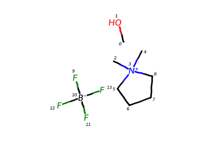 CO.C[N+]1(C)CCCC1.F[B-](F)(F)F